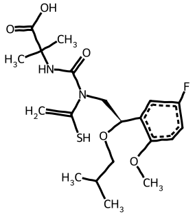 C=C(S)N(C[C@H](OCC(C)C)c1cc(F)ccc1OC)C(=O)NC(C)(C)C(=O)O